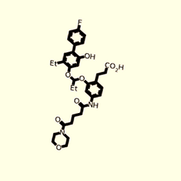 CCc1cc(-c2ccc(F)cc2)c(O)cc1OC(CC)Oc1cc(NC(=O)CCCC(=O)N2CCOCC2)ccc1CCC(=O)O